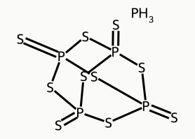 P.S=P12SP3(=S)SP(=S)(S1)SP(=S)(S2)S3